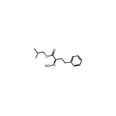 CC(C)COC(=O)C(CCc1ccccc1)=NO